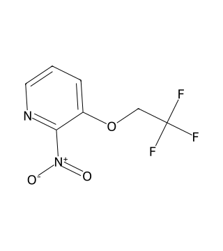 O=[N+]([O-])c1ncccc1OCC(F)(F)F